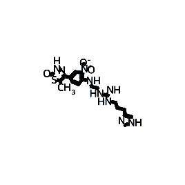 CC1SC(=O)NN=C1c1ccc(NCCNC(=N)NCCCc2c[nH]cn2)c([N+](=O)[O-])c1